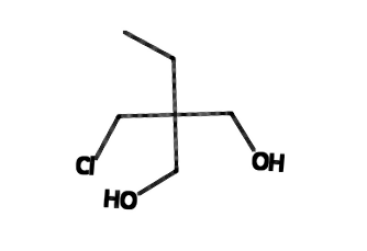 CCC(CO)(CO)CCl